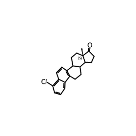 C[C@]12CCC3c4ccc5c(Cl)cccc5c4CCC3C1CCC2=O